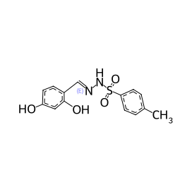 Cc1ccc(S(=O)(=O)N/N=C/c2ccc(O)cc2O)cc1